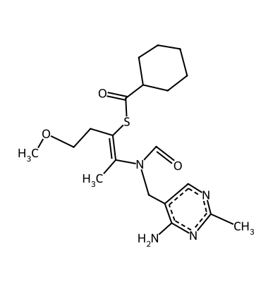 COCC/C(SC(=O)C1CCCCC1)=C(\C)N(C=O)Cc1cnc(C)nc1N